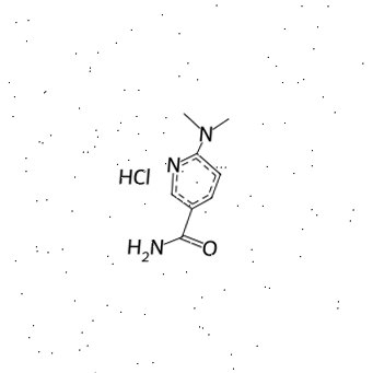 CN(C)c1ccc(C(N)=O)cn1.Cl